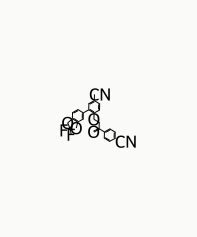 N#Cc1ccc(C(=O)COc2ccc(C#N)cc2-c2ccc3c(c2)OC(F)(F)O3)cc1